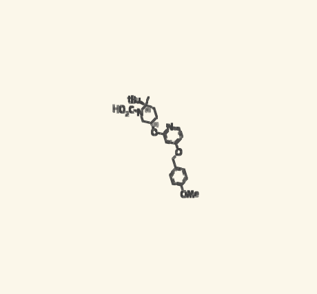 COc1ccc(COc2ccnc(O[C@@H]3CC[C@](C)(C(C)(C)C)N(C(=O)O)C3)c2)cc1